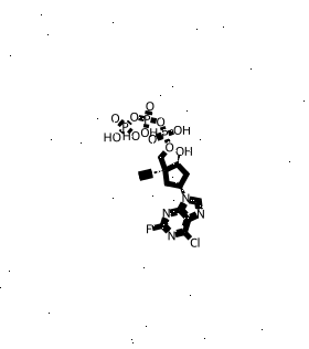 C#C[C@@]1(COP(=O)(O)OP(=O)(O)OP(=O)(O)O)C[C@H](n2cnc3c(Cl)nc(F)nc32)C[C@H]1O